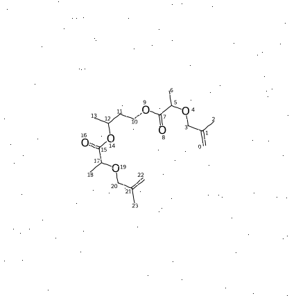 C=C(C)COC(C)C(=O)OCCC(C)OC(=O)C(C)OCC(=C)C